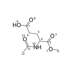 COC(=O)C(CCC(=O)O)NC(C)=O